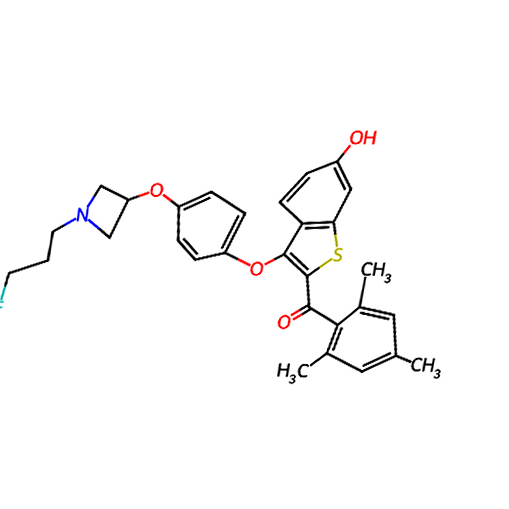 Cc1cc(C)c(C(=O)c2sc3cc(O)ccc3c2Oc2ccc(OC3CN(CCCF)C3)cc2)c(C)c1